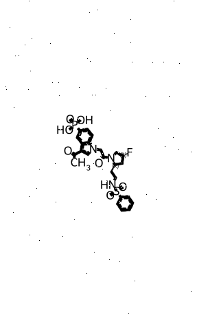 CC(=O)c1cn(CC(=O)N2C[C@H](F)C[C@H]2CCNS(=O)(=O)c2ccccc2)c2ccc(P(=O)(O)O)cc12